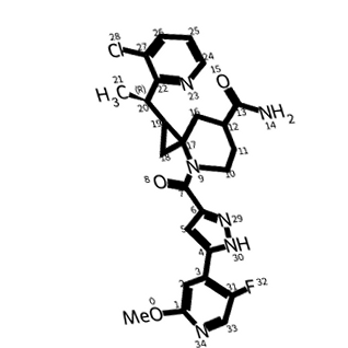 COc1cc(-c2cc(C(=O)N3CCC(C(N)=O)CC34CC4[C@@H](C)c3ncccc3Cl)n[nH]2)c(F)cn1